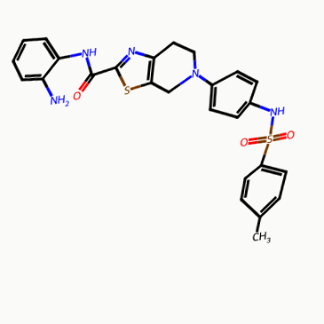 Cc1ccc(S(=O)(=O)Nc2ccc(N3CCc4nc(C(=O)Nc5ccccc5N)sc4C3)cc2)cc1